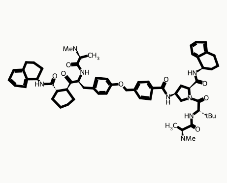 CN[C@@H](C)C(=O)N[C@@H](Cc1ccc(OCc2ccc(C(=O)N[C@H]3C[C@@H](C(=O)N[C@@H]4CCCc5ccccc54)N(C(=O)[C@@H](NC(=O)[C@H](C)NC)C(C)(C)C)C3)cc2)cc1)C(=O)[C@H]1CCCC[C@@H]1C(=O)N[C@@H]1CCCc2ccccc21